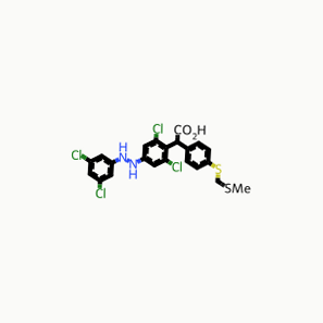 CSCSc1ccc(C(C(=O)O)c2c(Cl)cc(NNc3cc(Cl)cc(Cl)c3)cc2Cl)cc1